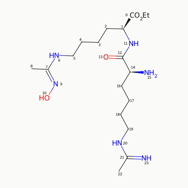 CCOC(=O)[C@H](CCCCNC(C)=NO)NC(=O)[C@@H](N)CCCCNC(C)=N